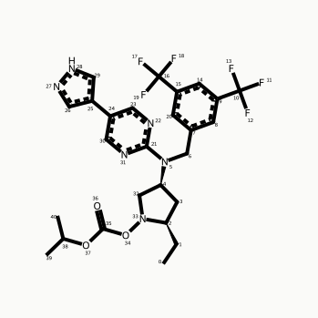 CC[C@@H]1C[C@H](N(Cc2cc(C(F)(F)F)cc(C(F)(F)F)c2)c2ncc(-c3cn[nH]c3)cn2)CN1OC(=O)OC(C)C